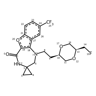 O=C1NC2(CC2)CN(CC[C@@H]2CO[C@H](CF)CO2)c2c1oc1ccc(C(F)(F)F)cc21